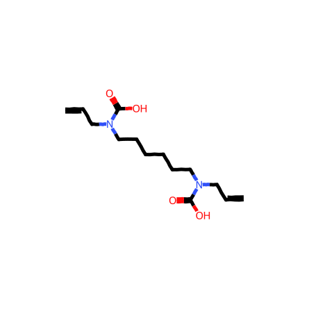 C=CCN(CCCCCCN(CC=C)C(=O)O)C(=O)O